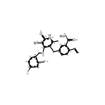 C=Cc1ccc(Cc2c(C)[nH]c(=O)c(Br)c2OCc2ccc(F)cc2F)cc1C(=O)NC